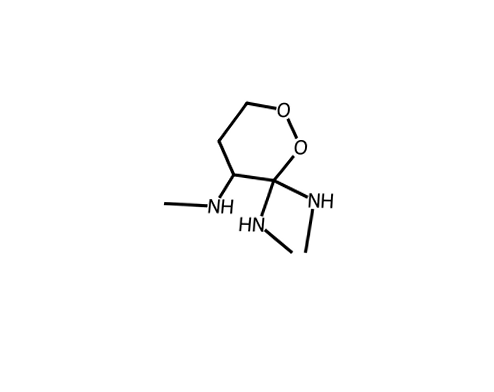 CNC1CCOOC1(NC)NC